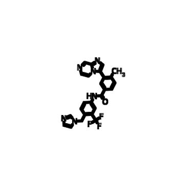 Cc1ccc(C(=O)Nc2ccc(Cn3ccnc3)c(C(F)(F)F)c2)cc1-c1cnc2cnccn12